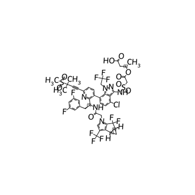 C[C@@H](CC(=O)O)OC(=O)CS(=O)(=O)Nc1nn(CC(F)(F)F)c2c(-c3ccc(C#CC(C)(C)S(C)(=O)=O)nc3[C@H](Cc3cc(F)cc(F)c3)NC(=O)Cn3cc(C(F)(F)F)c4c3C(F)(F)[C@@H]3C[C@H]43)ccc(Cl)c12